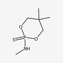 CNP1(=S)OCC(C)(C)CO1